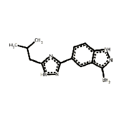 Bc1n[nH]c2ccc(-c3n[nH]c(CC(C)C)n3)cc12